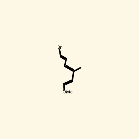 COC=CC(C)=CC=CBr